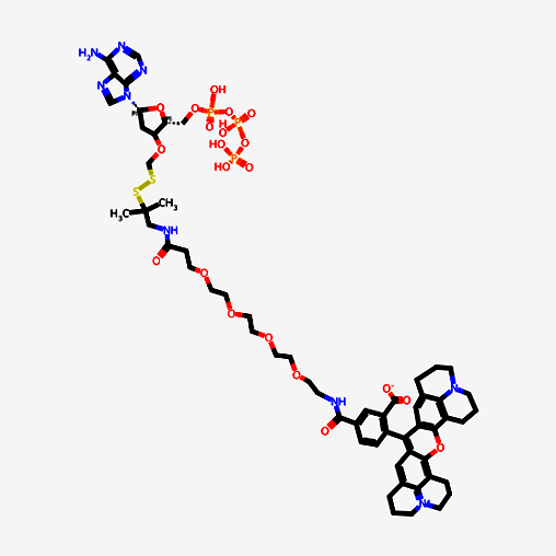 CC(C)(CNC(=O)CCOCCOCCOCCOCCNC(=O)c1ccc(C2=c3cc4c5c(c3Oc3c2cc2c6c3CCCN6CCC2)CCC[N+]=5CCC4)c(C(=O)[O-])c1)SSCOC1C[C@H](n2cnc3c(N)ncnc32)O[C@@H]1COP(=O)(O)OP(=O)(O)OP(=O)(O)O